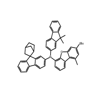 Cc1cc(C(C)(C)C)cc2oc3c(N(c4ccc5c(c4)C(C)(C)c4ccccc4-5)c4ccc5c(c4)C4(CC6CCC4C6)c4ccccc4-5)cccc3c12